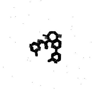 Cc1cc(-c2ccc3c(n2)N(C(=O)Nc2cncc(C)n2)[C@H](C)CCN3)ccn1